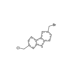 ClCc1ccc2c(c1)sc1ccc(CBr)cc12